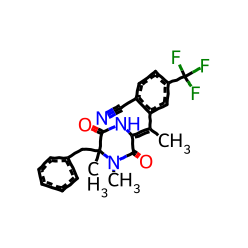 CC(=C1NC(=O)C(C)(Cc2ccccc2)N(C)C1=O)c1cc(C(F)(F)F)ccc1C#N